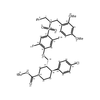 COc1ccc(CN(CC(C)C)S(=O)(=O)c2cc(F)c(OC[C@H]3CN(C(=O)OC(C)(C)C)CC[C@@H]3c3ccc(Cl)cc3)cc2F)c(OC)c1